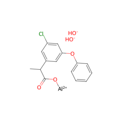 CC(C(=O)[O][Al+2])c1cc(Cl)cc(Oc2ccccc2)c1.[OH-].[OH-]